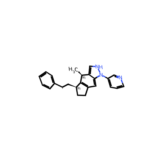 C[C@H]1C2=CNN(c3cccnc3)C2=CC2=C1[C@H](C[CH]c1ccccc1)CC2